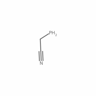 N#CCP